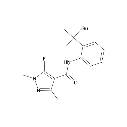 CCC(C)C(C)(C)c1ccccc1NC(=O)c1c(C)nn(C)c1F